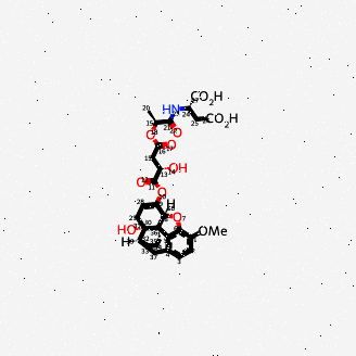 COc1ccc2c3c1O[C@@H]1C(OC(=O)[C@@H](O)CC(=O)O[C@@H](C)C(=O)N[C@@H](CC(=O)O)C(=O)O)=CC[C@]4(O)[C@@H](CCC[C@@]314)C2